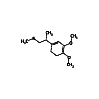 COC1=C(OC)CCC(C(C)CSC)=C1